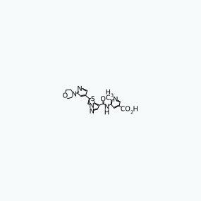 Cc1ncc(C(=O)O)cc1NC(=O)c1cnn2cc(-c3ccnc(N4CCOCC4)c3)sc12